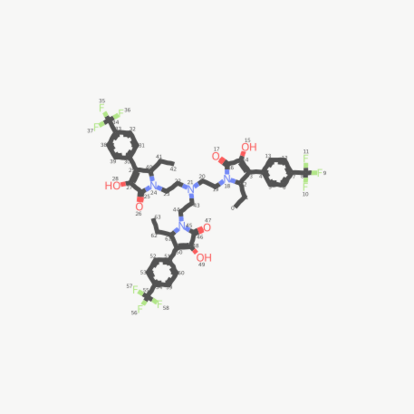 CCC1C(c2ccc(C(F)(F)F)cc2)=C(O)C(=O)N1CCN(CCN1C(=O)C(O)=C(c2ccc(C(F)(F)F)cc2)C1CC)CCN1C(=O)C(O)=C(c2ccc(C(F)(F)F)cc2)C1CC